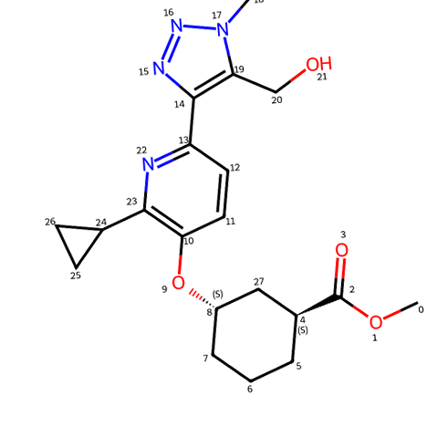 COC(=O)[C@H]1CCC[C@H](Oc2ccc(-c3nnn(C)c3CO)nc2C2CC2)C1